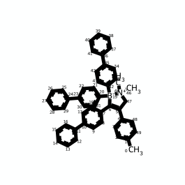 Cc1ccc(C2=C(c3ccc(-c4ccccc4)cc3)[B-](c3ccc(-c4ccccc4)cc3)(c3ccc(-c4ccccc4)cc3)[N+](C)(C)C2)cc1